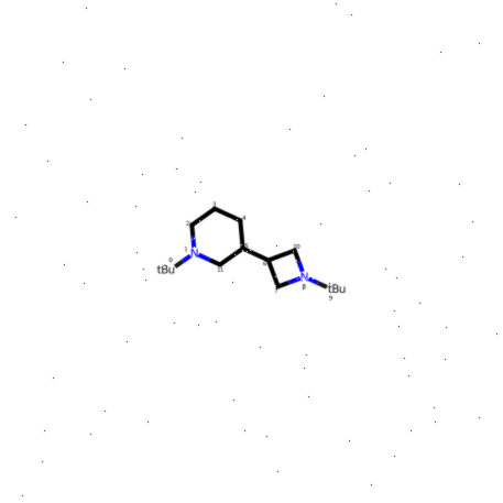 CC(C)(C)N1CCCC(C2CN(C(C)(C)C)C2)C1